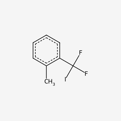 Cc1ccccc1C(F)(F)I